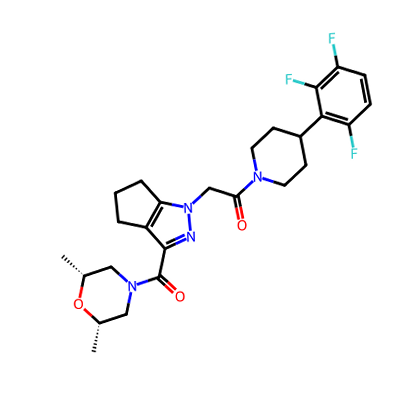 C[C@@H]1CN(C(=O)c2nn(CC(=O)N3CCC(c4c(F)ccc(F)c4F)CC3)c3c2CCC3)C[C@H](C)O1